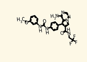 COc1cccc(NC(=O)Nc2ccc(-c3c(C(=O)NCC(F)(F)F)cn4ncnc(N)c34)cc2)c1